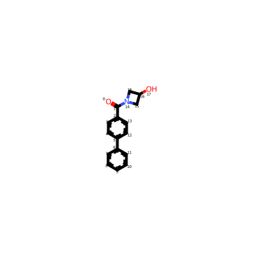 O=C(c1ccc(-c2ccccc2)cc1)N1CC(O)C1